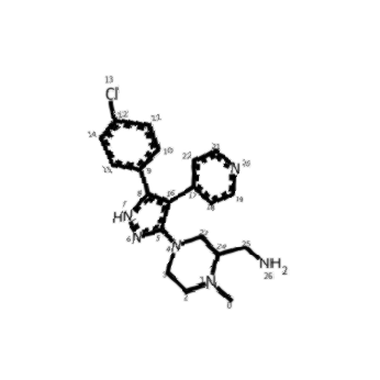 CN1CCN(c2n[nH]c(-c3ccc(Cl)cc3)c2-c2ccncc2)CC1CN